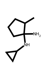 CC1CCCC1(N)NC1CC1